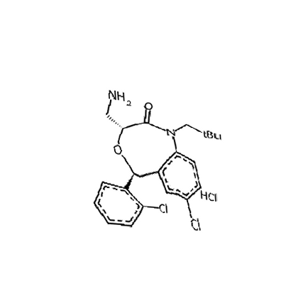 CC(C)(C)CN1C(=O)[C@@H](CN)O[C@H](c2ccccc2Cl)c2cc(Cl)ccc21.Cl